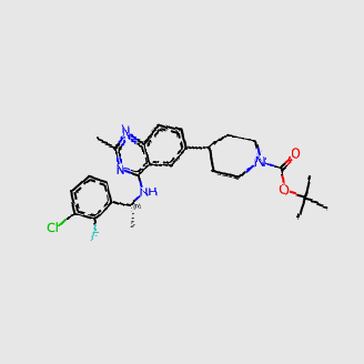 Cc1nc(N[C@H](C)c2cccc(Cl)c2F)c2cc(C3CCN(C(=O)OC(C)(C)C)CC3)ccc2n1